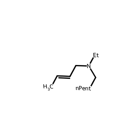 CC=CCN(CC)CCCCCC